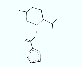 CC1CCC(C(C)C)C(OC(=O)c2ncc[nH]2)C1